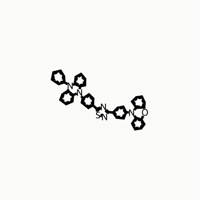 c1ccc(N2c3ccccc3N(c3ccc(-c4nc(-c5ccc(N6c7ccccc7Oc7ccccc76)cc5)ns4)cc3)c3ccccc32)cc1